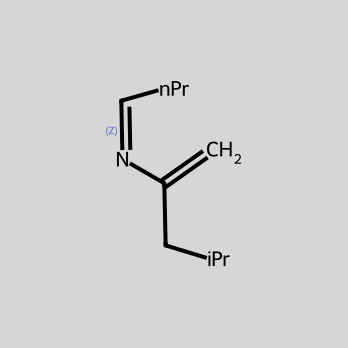 C=C(CC(C)C)/N=C\CCC